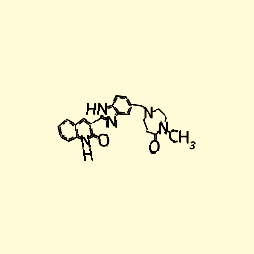 CN1CCN(Cc2ccc3[nH]c(-c4cc5ccccc5[nH]c4=O)nc3c2)CCC1=O